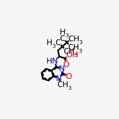 Cn1c(=O)nc(NC(CC(C)(C)C(C)(C)C)C(=O)O)c2ccccc21